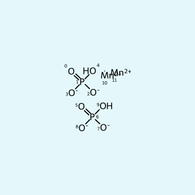 O=P([O-])([O-])O.O=P([O-])([O-])O.[Mn+2].[Mn+2]